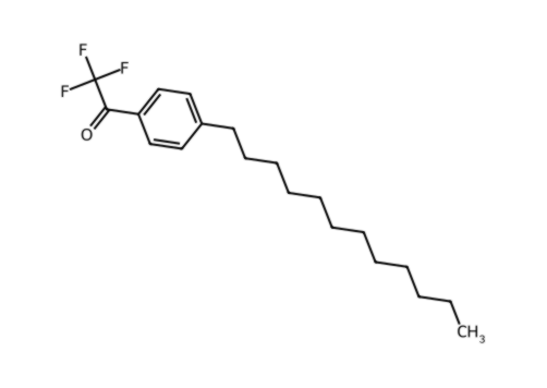 CCCCCCCCCCCCc1ccc(C(=O)C(F)(F)F)cc1